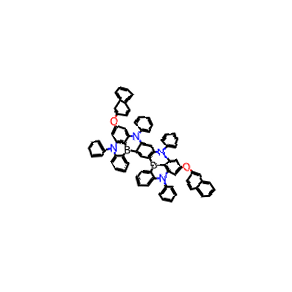 c1ccc(N2c3ccccc3B3c4cc5c(cc4N(c4ccccc4)c4cc(Oc6ccc7ccccc7c6)cc2c43)N(c2ccccc2)c2cc(Oc3ccc4ccccc4c3)cc3c2B5c2ccccc2N3c2ccccc2)cc1